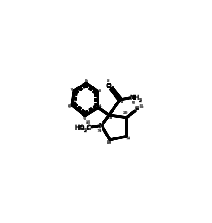 NC(=O)C1(c2ccccc2)C(F)CCN1C(=O)O